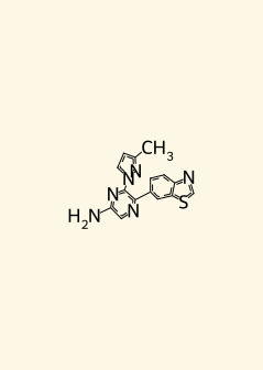 Cc1ccn(-c2nc(N)cnc2-c2ccc3ncsc3c2)n1